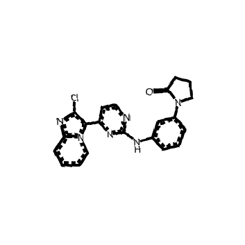 O=C1CCCN1c1cccc(Nc2nccc(-c3c(Cl)nc4ccccn34)n2)c1